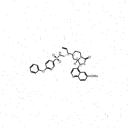 C=C[C@@H](CNS(=O)(=O)c1ccc(Oc2ccccc2)nc1)[C@H]1CCN2C(=O)S[C@@H](c3ccnc4ccc(OC)cc34)[C@@H]2C1